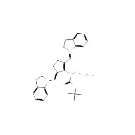 CC(C)(C)OC(=O)N(SOOO)C1=C(/C=[N+]2\CCc3ccccc32)CC/C1=C\N1CCc2ccccc21